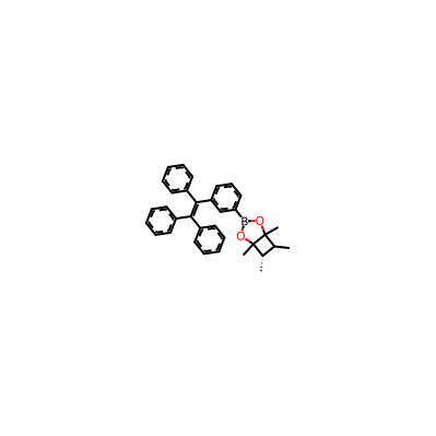 CC1[C@H](C)C2(C)OB(c3cccc(C(=C(c4ccccc4)c4ccccc4)c4ccccc4)c3)OC12C